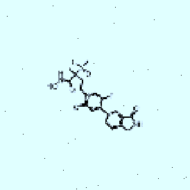 CC(CCn1cc(F)c(-c2ccc3c(c2)C(=O)NC3)cc1=O)(C(=O)NO)S(C)(=O)=O